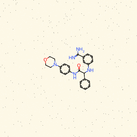 N=C(N)c1cccc(NC(C(=O)Nc2ccc(N3CCOCC3)cc2)c2ccccc2)c1